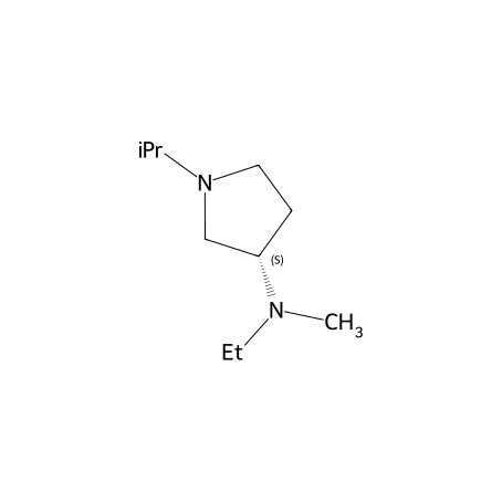 CCN(C)[C@H]1CCN(C(C)C)C1